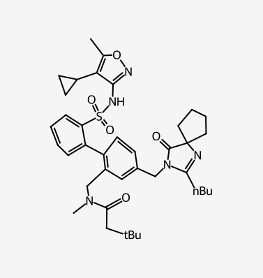 CCCCC1=NC2(CCCC2)C(=O)N1Cc1ccc(-c2ccccc2S(=O)(=O)Nc2noc(C)c2C2CC2)c(CN(C)C(=O)CC(C)(C)C)c1